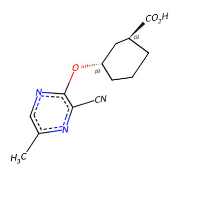 Cc1cnc(O[C@H]2CCC[C@H](C(=O)O)C2)c(C#N)n1